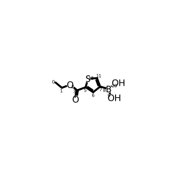 CCOC(=O)c1cc(B(O)O)cs1